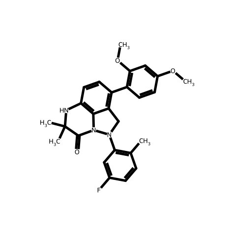 COc1ccc(-c2ccc3c4c2CN(c2cc(F)ccc2C)N4C(=O)C(C)(C)N3)c(OC)c1